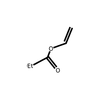 C=COC(=O)[CH]C